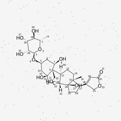 C[C@@H]1O[C@@H](O[C@H]2C[C@@H](O)[C@]3(CO)[C@H]4CC[C@]5(C)[C@@H](C6=CC(=O)OC6)CC[C@]5(O)[C@@H]4CC[C@]3(O)C2)[C@H](O)[C@H](O)[C@H]1O